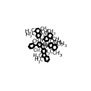 Cc1cccc(C)c1-c1cc(-c2cc3c(cc2Nc2ccc4c(c2)C(C)(C)CCC4(C)C)-c2ccccc2C3(C)C)c2c(c1)N(c1ccc3c(c1)C(C)(C)CCC3(C)C)c1cc3c(cc1B2)C(C)(C)CCC3(C)C